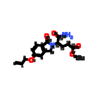 C=CCOc1ccc2c(c1)CN(C(CCC(=O)OC(C)(C)C)C(N)=O)C2=O